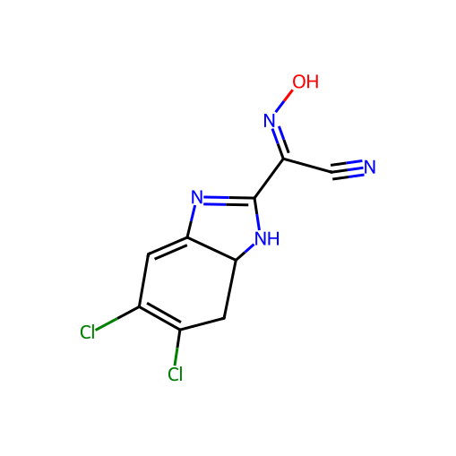 N#C/C(=N\O)C1=NC2=CC(Cl)=C(Cl)CC2N1